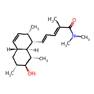 C/C(=C\C=C\[C@@H]1[C@H]2[C@H](C)[C@@H](O)[C@H](C)C[C@@H]2C=C[C@@H]1C)C(=O)N(C)C